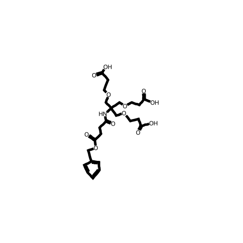 O=C(O)CCOCC(COCCC(=O)O)(COCCC(=O)O)NC(=O)CCC(=O)OCc1ccccc1